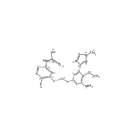 COc1c(N)cc(COCc2nc(NC(=O)O)ccc2F)cc1-c1ncn(C)n1